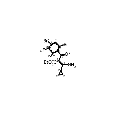 CCOC(=O)C(C(=O)c1c(Br)cc(Br)c(F)c1C)=C(N)C1CC1